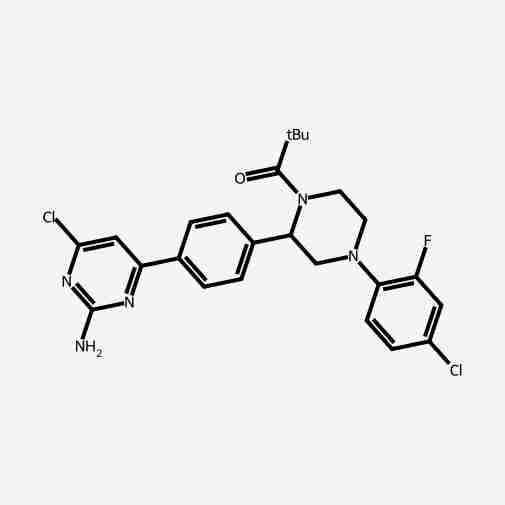 CC(C)(C)C(=O)N1CCN(c2ccc(Cl)cc2F)CC1c1ccc(-c2cc(Cl)nc(N)n2)cc1